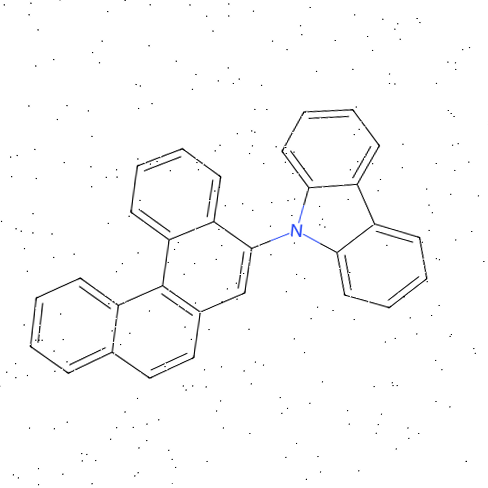 c1ccc2c(c1)ccc1cc(-n3c4ccccc4c4ccccc43)c3ccccc3c12